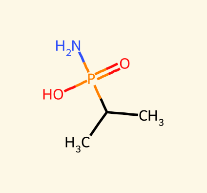 CC(C)P(N)(=O)O